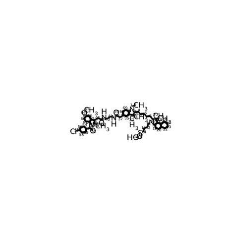 CCN1/C(=C/C=C/C=C/C2=[N+](CCCCSOO)c3ccc4ccccc4c3C2(C)C)C(C)(C)c2cc(CC(=O)NCCNC(=O)Cc3c(C)n(C(=O)c4ccc(Cl)cc4)c4ccc(OC)cc34)ccc21